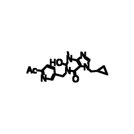 CC(=O)c1ccc(CN2C(=O)c3c(ncn3CC3CC3)N(C)C2O)cn1